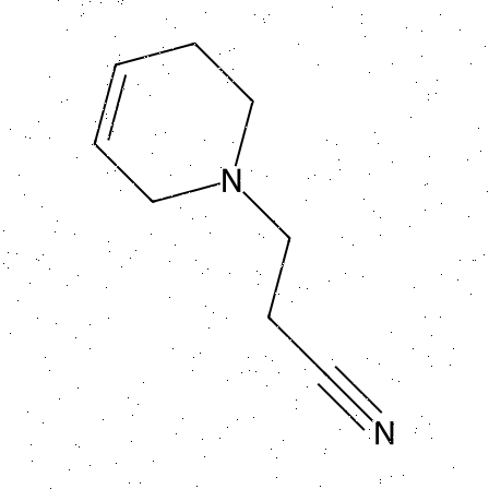 N#CCCN1CC=CCC1